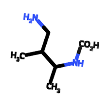 CC(CN)C(C)NC(=O)O